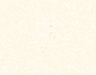 CCOC(=O)C(=O)Nc1cccc(OCc2ccccc2)c1C(N)=O